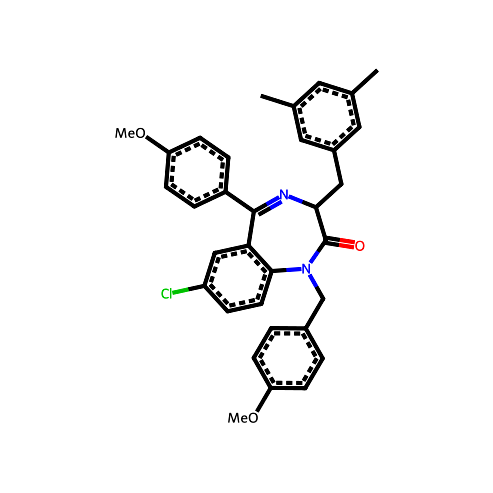 COc1ccc(CN2C(=O)C(Cc3cc(C)cc(C)c3)N=C(c3ccc(OC)cc3)c3cc(Cl)ccc32)cc1